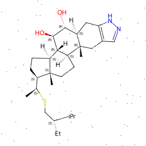 CC[C@H](CS[C@@H](C)[C@H]1CC[C@H]2[C@@H]3[C@@H](O)[C@H](O)[C@H]4Cc5[nH]ncc5C[C@]4(C)[C@H]3CC[C@]12C)C(C)C